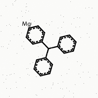 [Mg].c1ccc(C(c2ccccc2)c2ccccc2)cc1